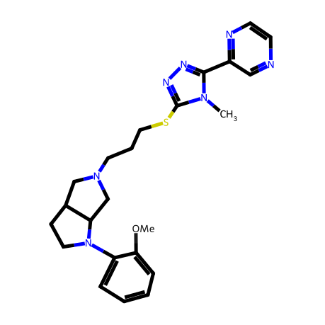 COc1ccccc1N1CCC2CN(CCCSc3nnc(-c4cnccn4)n3C)CC21